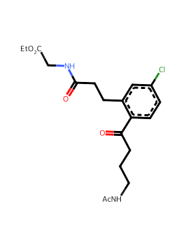 CCOC(=O)CNC(=O)CCc1cc(Cl)ccc1C(=O)CCCNC(C)=O